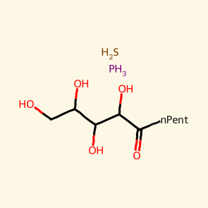 CCCCCC(=O)C(O)C(O)C(O)CO.P.S